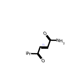 CC(C)C(=O)/C=C/C(N)=O